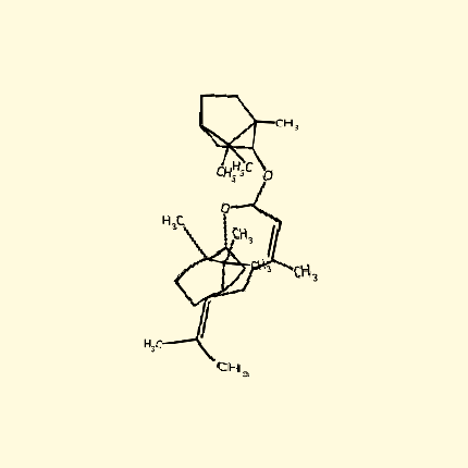 CC(C)=CCCC(C)=CC(OC1CC2CCC1(C)C2(C)C)OC1CC2CCC1(C)C2(C)C